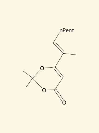 CCCCCC=C(C)C1=CC(=O)OC(C)(C)O1